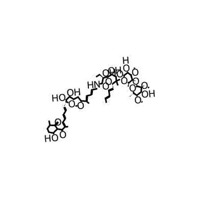 C/C=C/C=C/[C@@H]1O[C@](O)([C@H](CC)C(=O)NC/C=C/C=C(\C)[C@@H](OC)[C@@H](C)[C@@H]2O[C@H](/C=C/C=C/C=C(\C)C(=O)C3C(=O)C(C)CCC3O)[C@H](O)[C@@H]2O)[C@H](O)[C@H](O[C@@H]2O[C@H](C)[C@@H](O[C@@H]3O[C@@H](C)[C@H](OC)[C@@H](O)[C@H]3OC)[C@@H](OC)[C@H]2O)C1(C)C